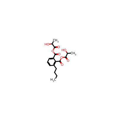 CCCCc1cccc(C(=O)OC(=O)C(C)O)c1C(=O)OC(=O)C(C)O